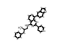 NC(CNc1nc(-c2ccncc2)nc2c(-c3ccc4occc4c3)nccc12)Cc1ccccc1